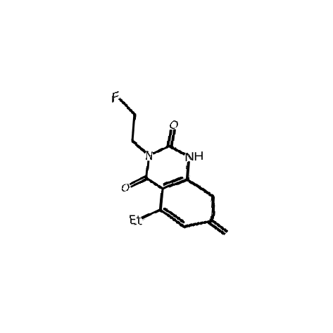 C=C1C=C(CC)c2c([nH]c(=O)n(CCF)c2=O)C1